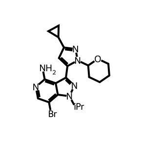 CC(C)n1nc(-c2cc(C3CC3)nn2C2CCCCO2)c2c(N)ncc(Br)c21